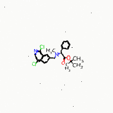 CN(Cc1ccc2c(Cl)cnc(Cl)c2c1)[C@H](C(=O)OC(C)(C)C)c1ccccc1